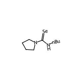 CCCCNC(=[Se])N1CCCC1